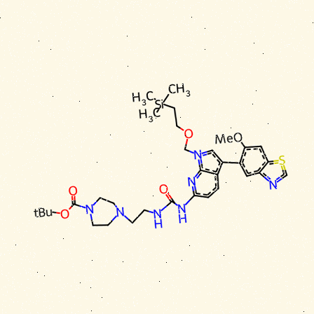 COc1cc2scnc2cc1-c1cn(COCC[Si](C)(C)C)c2nc(NC(=O)NCCN3CCN(C(=O)OC(C)(C)C)CC3)ccc12